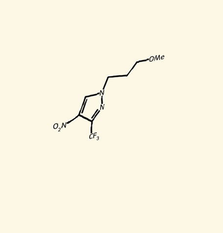 COCCCn1cc([N+](=O)[O-])c(C(F)(F)F)n1